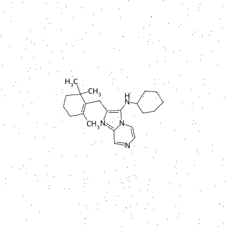 CC1=C(Cc2nc3cnccn3c2NC2CCCCC2)C(C)(C)CCC1